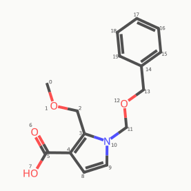 COCc1c(C(=O)O)ccn1COCc1ccccc1